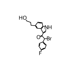 O=C(c1c[nH]c2ccc(CCCO)cc12)C(Br)c1ccc(F)cc1